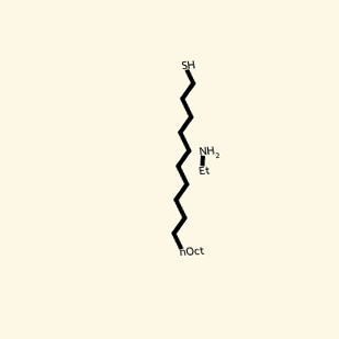 CCCCCCCCCCCCCCCCCCS.CCN